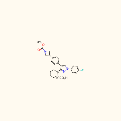 CC(C)OC(=O)N1CC(c2ccc(-c3cn(-c4ccc(F)cc4)nc3[C@@H]3CCCC[C@H]3C(=O)O)cc2)C1